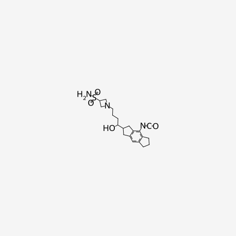 NS(=O)(=O)C1CN(CCCC(O)C2Cc3cc4c(c(N=C=O)c3C2)CCC4)C1